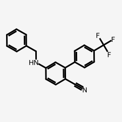 N#Cc1ccc(NCc2ccccc2)cc1-c1ccc(C(F)(F)F)cc1